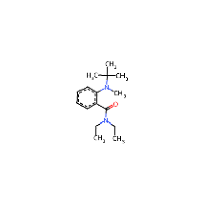 CCN(CC)C(=O)c1ccccc1N(C)C(C)(C)C